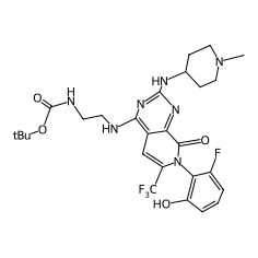 CN1CCC(Nc2nc(NCCNC(=O)OC(C)(C)C)c3cc(C(F)(F)F)n(-c4c(O)cccc4F)c(=O)c3n2)CC1